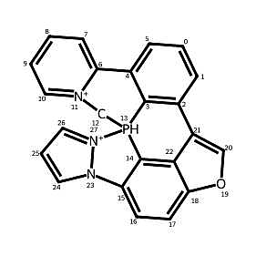 c1cc2c3c(c1)-c1cccc[n+]1C[PH]31c3c(ccc4occ-2c34)-n2ccc[n+]21